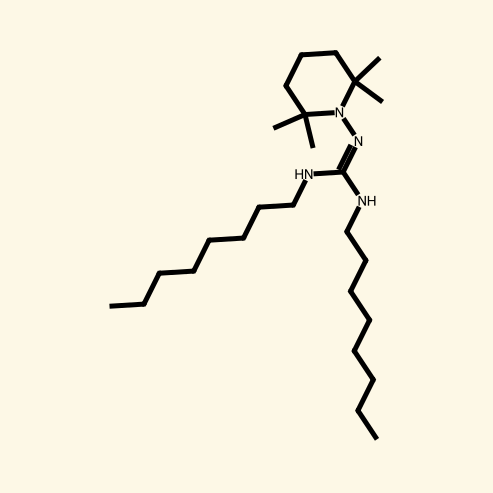 CCCCCCCCNC(=NN1C(C)(C)CCCC1(C)C)NCCCCCCCC